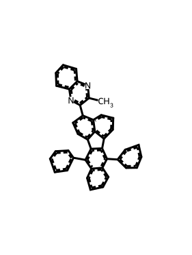 Cc1nc2ccccc2nc1-c1ccc2c3c(cccc13)-c1c-2c(-c2ccccc2)c2ccccc2c1-c1ccccc1